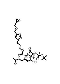 CC(=O)OCC1=CC(S)[C@H]2[C@@H](NC(=O)OC(C)(C)C)C(=O)N2[C@H]1C(=O)OCCCn1cc(COCC2CO2)nn1